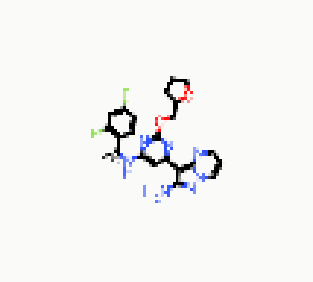 C[C@H](Nc1cc(-c2c(N)nn3cccnc23)nc(OCC2CCCO2)n1)c1ccc(F)cc1F